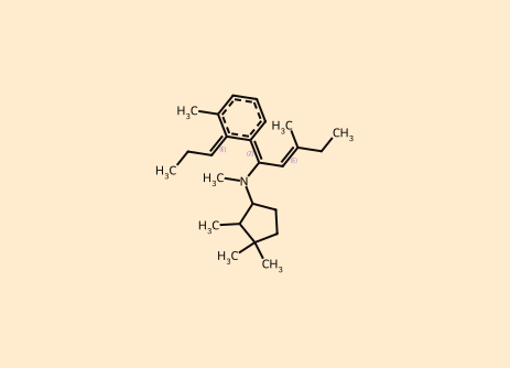 CC\C=c1/c(C)ccc/c1=C(\C=C(/C)CC)N(C)C1CCC(C)(C)C1C